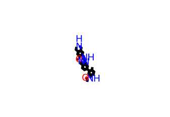 COc1cc2c(cc1Nc1ncc3ccc(-c4cc(NC(C)=O)ccc4C)cc3n1)CNCC2